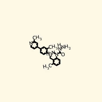 Cc1cc(-c2ccc(OCc3c(C)cccc3N(N)C(=O)NN)c(C)c2)ccn1